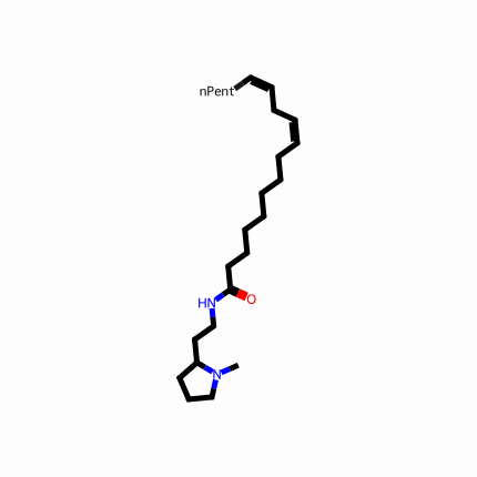 CCCCC/C=C\C/C=C\CCCCCCCC(=O)NCCC1CCCN1C